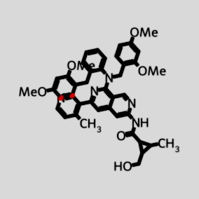 COc1ccc(Cc2ccccc2N(Cc2ccc(OC)cc2OC)c2nc(-c3cnccc3C)cc3cc(NC(=O)C4C(C)C4CO)ncc23)c(OC)c1